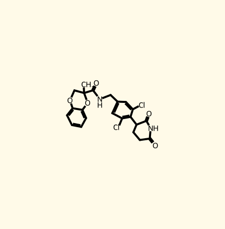 CC1(C(=O)NCc2cc(Cl)c(C3CCC(=O)NC3=O)c(Cl)c2)COc2ccccc2O1